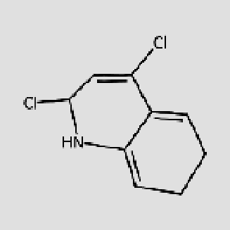 ClC1=CC(Cl)NC2=CCCC=C12